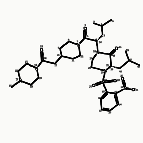 CC(C)C[C@@H](C(=O)N1CCC(CC(=O)N2CCN(C)CC2)CC1)N1CCN(S(=O)(=O)c2ccccc2[N+](=O)[O-])[C@@H](CC(C)C)C1=O